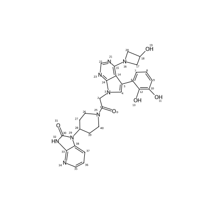 O=C(Cn1cc(-c2cccc(O)c2O)c2c(N3CC(O)C3)ncnc21)N1CCC(n2c(=O)[nH]c3ncccc32)CC1